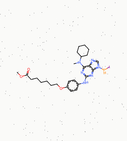 COC(=O)CCCCCCOc1ccc(Nc2nc(N(C)C3CCCCC3)c3ncn(PI)c3n2)cc1